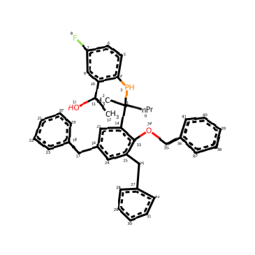 CCCC(C)(Pc1ccc(F)cc1C(C)O)c1cc(Cc2ccccc2)cc(Cc2ccccc2)c1OCc1ccccc1